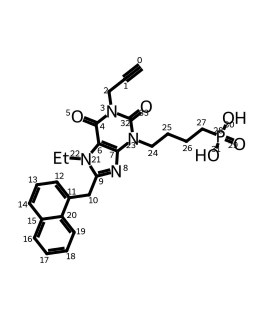 C#CCn1c(=O)c2c(nc(Cc3cccc4ccccc34)n2CC)n(CCCCP(=O)(O)O)c1=O